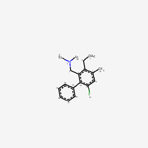 CCN(Cc1c(COC(C)=O)c(C(F)(F)F)cc(F)c1-c1ccccc1)C(C)=O